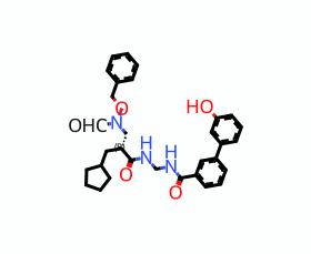 O=CN(C[C@@H](CC1CCCC1)C(=O)NCNC(=O)c1cccc(-c2cccc(O)c2)c1)OCc1ccccc1